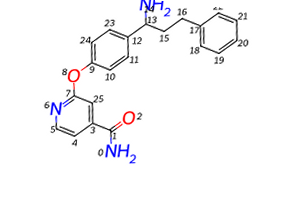 NC(=O)c1ccnc(Oc2ccc(C(N)CCc3ccccc3)cc2)c1